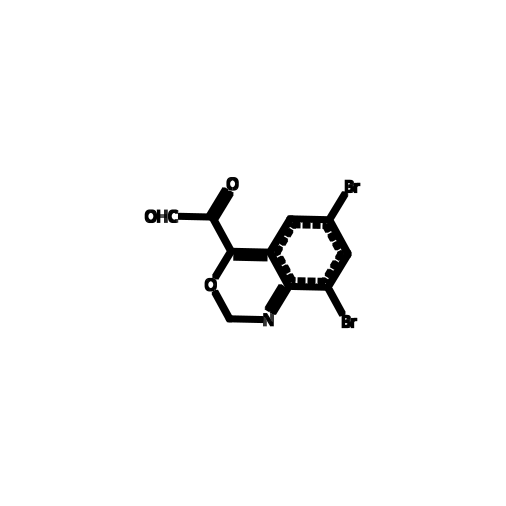 O=CC(=O)C1=c2cc(Br)cc(Br)c2=NCO1